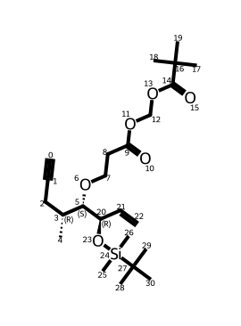 C#CC[C@@H](C)[C@H](OCCC(=O)OCOC(=O)C(C)(C)C)[C@@H](C=C)O[Si](C)(C)C(C)(C)C